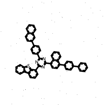 c1ccc(-c2ccc(-c3ccc(-c4nc(-c5ccc(-c6ccc7ccccc7c6)cc5)nc(-c5cccc6c5sc5ccccc56)n4)c4ccccc34)cc2)cc1